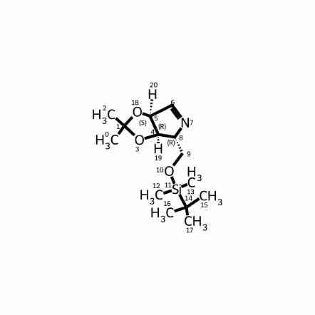 CC1(C)O[C@H]2[C@H](C=N[C@@H]2CO[Si](C)(C)C(C)(C)C)O1